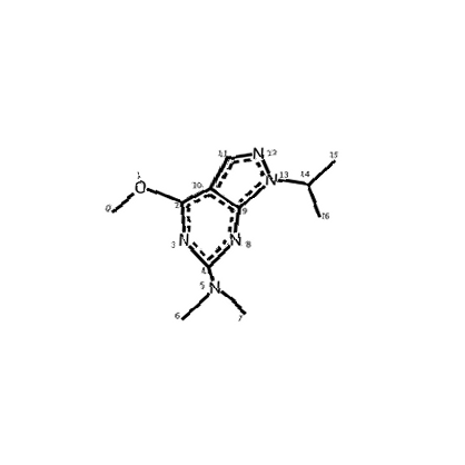 COc1nc(N(C)C)nc2c1cnn2C(C)C